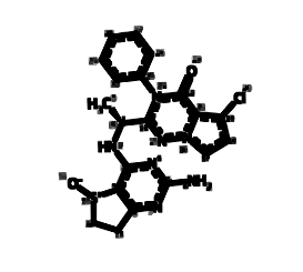 C[C@H](Nc1nc(N)nc2c1[S+]([O-])CC2)c1nn2ccc(Cl)c2c(=O)n1-c1ccccc1